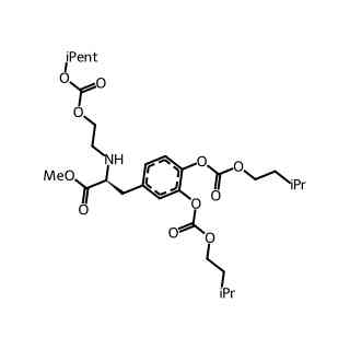 CCCC(C)OC(=O)OCCN[C@@H](Cc1ccc(OC(=O)OCCC(C)C)c(OC(=O)OCCC(C)C)c1)C(=O)OC